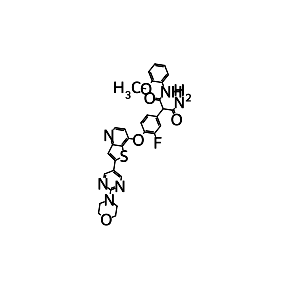 COc1ccccc1NC(=O)C(C(N)=O)c1ccc(Oc2ccnc3cc(-c4cnc(N5CCOCC5)nc4)sc23)c(F)c1